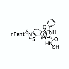 CCCCCSN1CSc2cc(S(=O)(=O)C(N[C@@H](C(=O)NO)C(C)C)c3ccccc3)ccc21